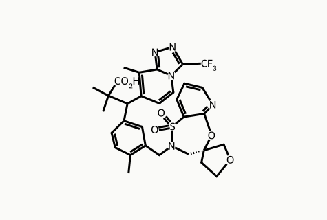 Cc1ccc(C(c2ccn3c(C(F)(F)F)nnc3c2C)C(C)(C)C(=O)O)cc1CN1C[C@]2(CCOC2)Oc2ncccc2S1(=O)=O